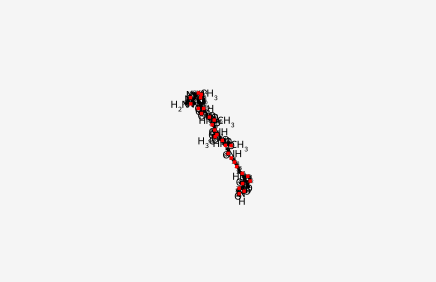 COC(=O)[C@H](CCC(=O)NCCCCCCCCNc1cccc2c1C(=O)N(C1CCC(=O)NC1=O)C2=O)NC(=O)CC[C@H](NC(=O)CC[C@H](NC(=O)CC[C@H](NC(=O)c1ccc(N(C)Cc2cnc3nc(N)nc(N)c3n2)cc1)C(=O)O)C(=O)OC)C(=O)OC